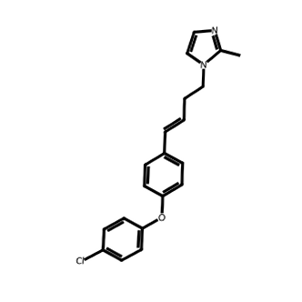 Cc1nccn1CCC=Cc1ccc(Oc2ccc(Cl)cc2)cc1